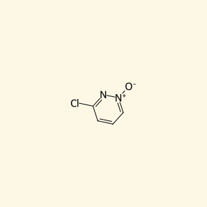 [O-][n+]1cccc(Cl)n1